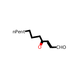 CCCCCCCCC(=O)C=CC=O